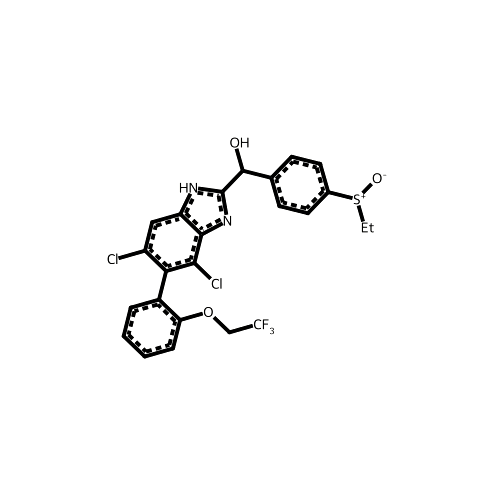 CC[S+]([O-])c1ccc(C(O)c2nc3c(Cl)c(-c4ccccc4OCC(F)(F)F)c(Cl)cc3[nH]2)cc1